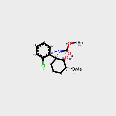 CO[C@@H]1CCC[C@@](NC(=O)OC(C)(C)C)(c2ccccc2Cl)C1=O